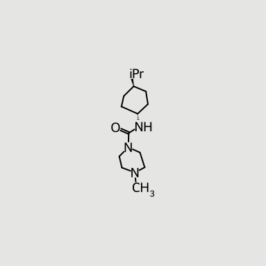 CC(C)[C@H]1CC[C@H](NC(=O)N2CCN(C)CC2)CC1